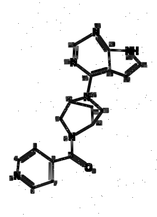 O=C(c1ccncc1)N1CC2CC1CN2c1ncnc2[nH]ccc12